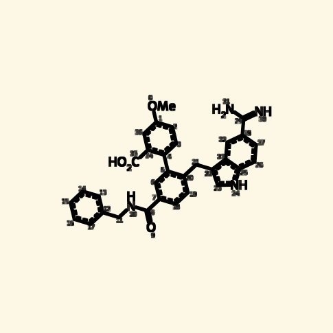 COc1ccc(-c2cc(C(=O)NCc3ccccc3)ccc2Cc2c[nH]c3ccc(C(=N)N)cc23)c(C(=O)O)c1